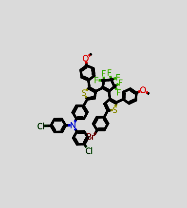 COc1ccc(-c2sc(-c3ccc(Br)cc3)cc2C2=C(c3cc(-c4ccc(N(c5ccc(Cl)cc5)c5ccc(Cl)cc5)cc4)sc3-c3ccc(OC)cc3)C(F)(F)C(F)(F)C2(F)F)cc1